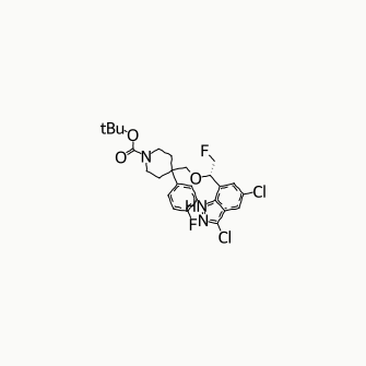 CC(C)(C)OC(=O)N1CCC(CO[C@H](CF)c2cc(Cl)cc3c(Cl)n[nH]c23)(c2ccc(F)cc2)CC1